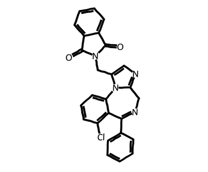 O=C1c2ccccc2C(=O)N1Cc1cnc2n1-c1cccc(Cl)c1C(c1ccccc1)=NC2